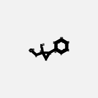 [O]CC1(F)CC1c1ccccc1